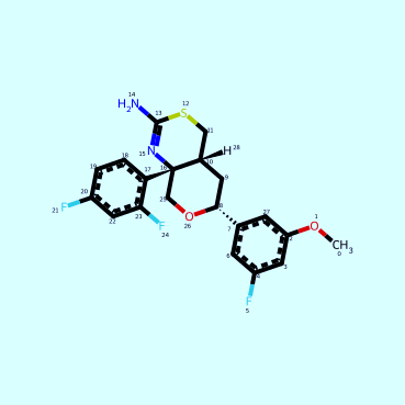 COc1cc(F)cc([C@H]2C[C@H]3CSC(N)=N[C@@]3(c3ccc(F)cc3F)CO2)c1